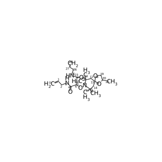 C=CCNC(=O)C(ON1C(C)(C)CC2(CC1(C)C)OCC(C)O2)C(=O)NCC=C